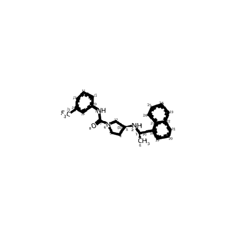 C[C@@H](N[C@H]1CCN(C(=O)Nc2cccc(C(F)(F)F)c2)C1)c1cccc2ccccc12